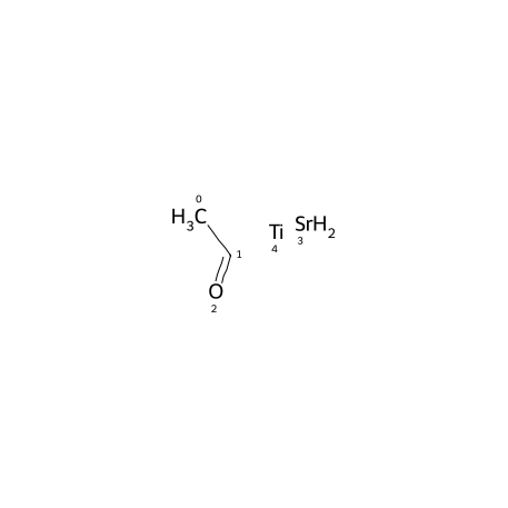 CC=O.[SrH2].[Ti]